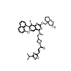 CC(F)c1noc(/C=C/C(=O)N2CC(CN(C)c3nc(OC[C@@]45CCCN4C[C@H](F)C5)nc4c(F)c(-c5cccc6cccc(Cl)c56)ncc34)C2)n1